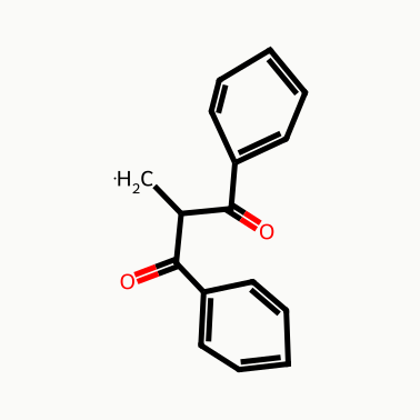 [CH2]C(C(=O)c1ccccc1)C(=O)c1ccccc1